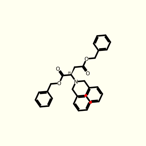 O=C(C[C@H](C(=O)OCc1ccccc1)N(Cc1ccccc1)Cc1ccccc1)OCc1ccccc1